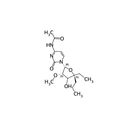 CCC[C@]1(CC)O[C@@H](n2ccc(NC(C)=O)nc2=O)[C@@H](OC)C1O